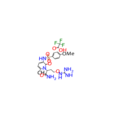 COc1ccc(S(=O)(=O)Nc2ccc(C)n(C(CCONC(=N)N)C(N)=O)c2=O)cc1.O=C(O)C(F)(F)F